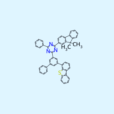 CC1(C)c2ccccc2-c2ccc(-c3nc(-c4ccccc4)nc(-c4cc(-c5ccccc5)cc(-c5cccc6c5sc5ccccc56)c4)n3)cc21